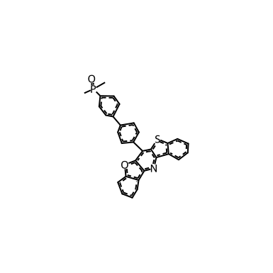 CP(C)(=O)c1ccc(-c2ccc(-c3c4oc5ccccc5c4nc4c3sc3ccccc34)cc2)cc1